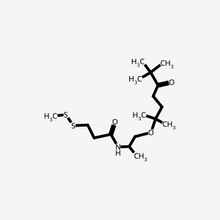 CSSCCC(=O)NC(C)COC(C)(C)CCC(=O)C(C)(C)C